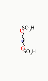 O=S(=O)(O)OC/C=C/CCOS(=O)(=O)O